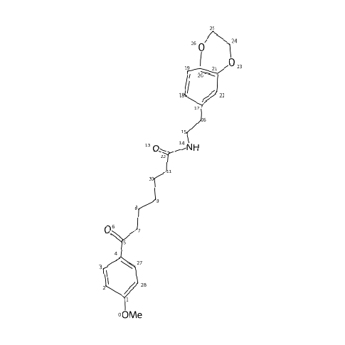 COc1ccc(C(=O)CCCCCC(=O)NCCc2ccc3c(c2)OCCO3)cc1